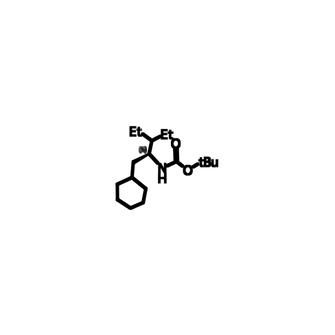 CCC(CC)[C@H](CC1CCCCC1)NC(=O)OC(C)(C)C